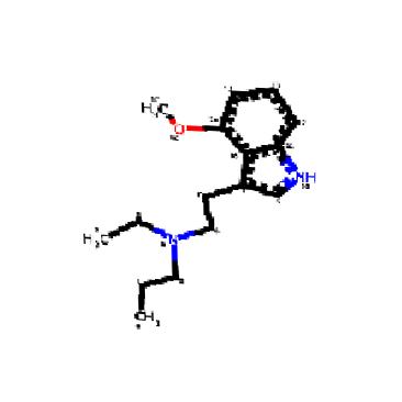 CCCN(CC)CCc1c[nH]c2cccc(OC)c12